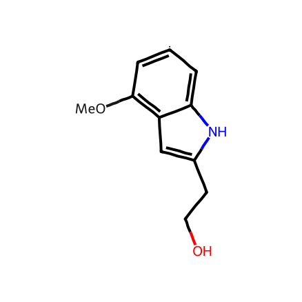 COc1c[c]cc2[nH]c(CCO)cc12